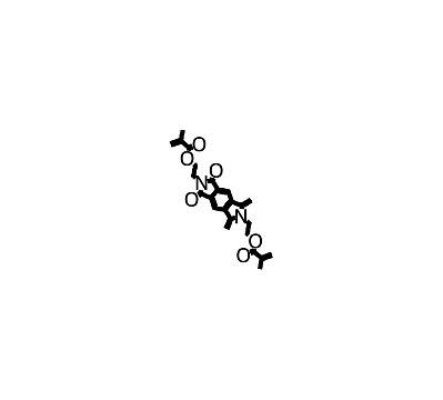 C=C(C)C(=O)OCCN1C(=O)c2cc3c(=C)n(CCOC(=O)C(=C)C)c(=C)c3cc2C1=O